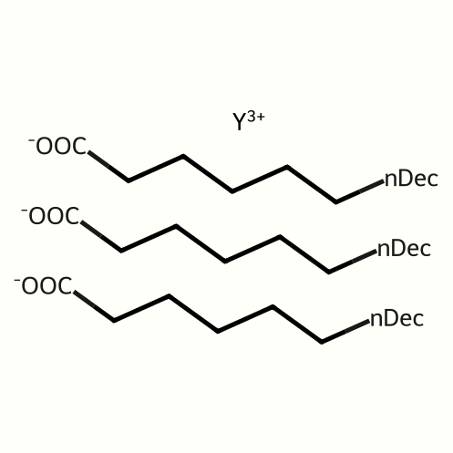 CCCCCCCCCCCCCCCC(=O)[O-].CCCCCCCCCCCCCCCC(=O)[O-].CCCCCCCCCCCCCCCC(=O)[O-].[Y+3]